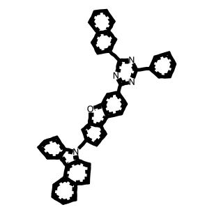 c1ccc(-c2nc(-c3ccc4ccccc4c3)nc(-c3ccc4c(c3)oc3cc(-n5c6ccccc6c6c7ccccc7ccc65)ccc34)n2)cc1